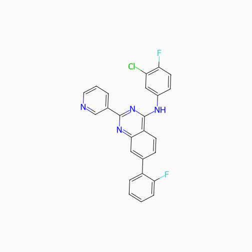 Fc1ccc(Nc2nc(-c3cccnc3)nc3cc(-c4ccccc4F)ccc23)cc1Cl